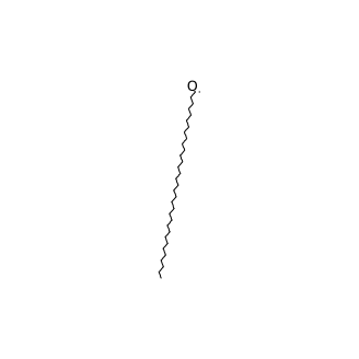 CCCCCCCCCCCCCCCCCCCCCCCCCCCCCCCC[C]=O